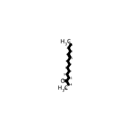 CCCCC=CCCCCCCC(=O)CC